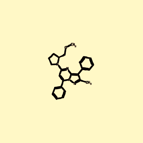 COC[C@@H]1CCCN1c1cc(-c2ccccc2)n2nc(C)c(-c3ccccc3)c2n1